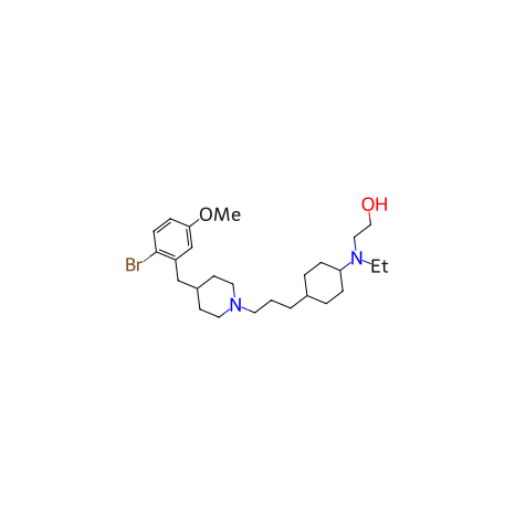 CCN(CCO)C1CCC(CCCN2CCC(Cc3cc(OC)ccc3Br)CC2)CC1